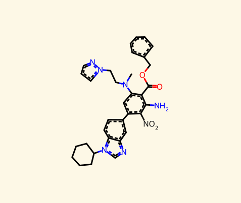 CN(CCn1cccn1)c1cc(-c2ccc3c(c2)ncn3C2CCCCC2)c([N+](=O)[O-])c(N)c1C(=O)OCc1ccccc1